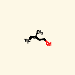 C=C[C@H](C)CCO